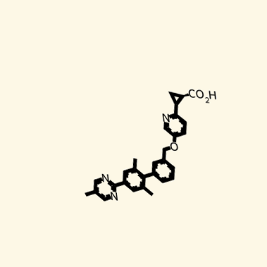 Cc1cnc(-c2cc(C)c(-c3cccc(COc4ccc(C5C[C@H]5C(=O)O)nc4)c3)c(C)c2)nc1